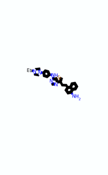 CCN1CCN(c2ccc(Nc3ncnc4c(CCc5ccc(N)c6ccccc56)csc34)cc2)CC1